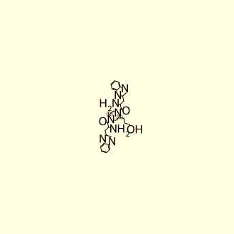 C[C@@H]1CN(C(=O)C(N)Cc2cnc3ccccc3n2)[C@@H](CCCO)CN1C(=O)C(N)Cc1cnc2ccccc2n1